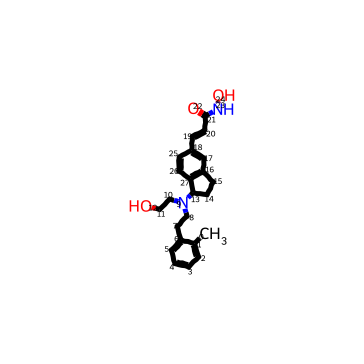 Cc1ccccc1CCN(CCO)C1CCc2cc(C=CC(=O)NO)ccc21